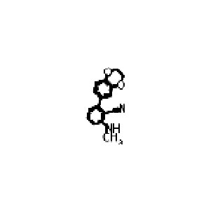 CNc1cccc(-c2ccc3c(c2)OCCO3)c1C#N